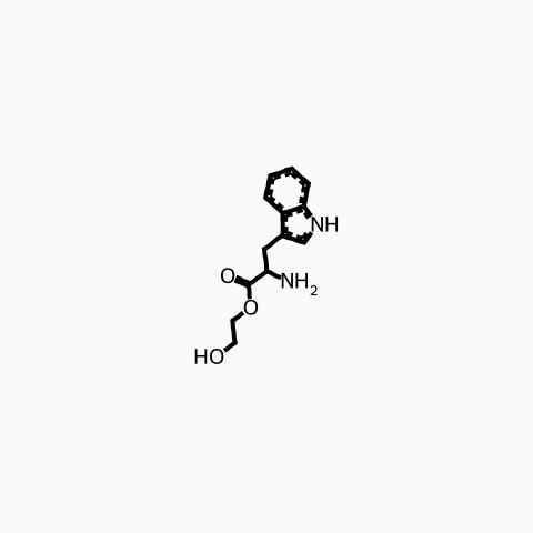 NC(Cc1c[nH]c2ccccc12)C(=O)OCCO